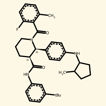 Cc1cccc(F)c1C(=O)N1CCC[C@H](C(=O)Nc2cccc(C(C)(C)C)c2)[C@@H]1c1ccc(NC2CCCC2C)cc1